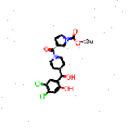 CC(C)(C)OC(=O)N1CC[C@@H](C(=O)N2CCC(C(O)c3cc(Cl)c(Cl)cc3O)CC2)C1